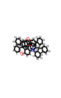 c1ccc2c(c1)Oc1ccc(N(c3cccc4c3C3(c5ccccc5-c5ccccc53)c3ccccc3-4)c3cccc4oc5ccccc5c34)cc1C21c2ccccc2-c2ccccc21